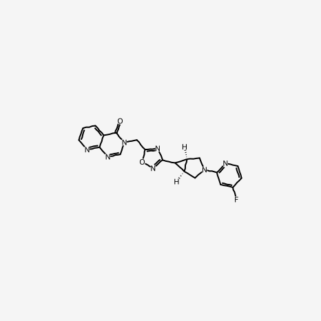 O=c1c2cccnc2ncn1Cc1nc(C2[C@H]3CN(c4cc(F)ccn4)C[C@@H]23)no1